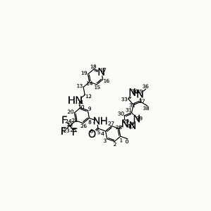 Cc1ccc(C(=O)Nc2cc(NCCc3ccncc3)cc(C(F)(F)F)c2)cc1-n1cc(-c2cnn(C)c2C)nn1